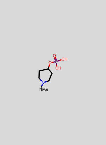 CNN1CCC(OP(=O)(O)O)CC1